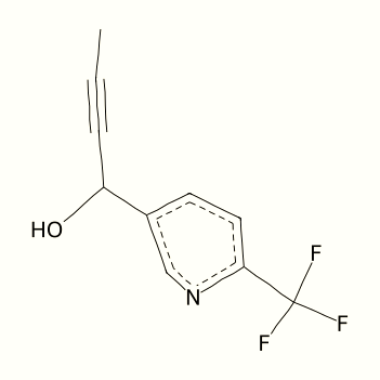 CC#CC(O)c1ccc(C(F)(F)F)nc1